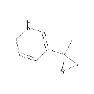 CC1(C2=CNCC=C2)CS1